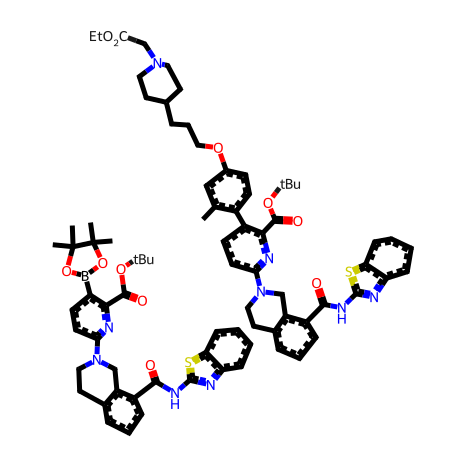 CC(C)(C)OC(=O)c1nc(N2CCc3cccc(C(=O)Nc4nc5ccccc5s4)c3C2)ccc1B1OC(C)(C)C(C)(C)O1.CCOC(=O)CN1CCC(CCCOc2ccc(-c3ccc(N4CCc5cccc(C(=O)Nc6nc7ccccc7s6)c5C4)nc3C(=O)OC(C)(C)C)c(C)c2)CC1